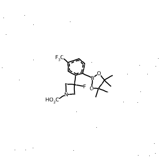 CC1(C)OB(c2ccc(C(F)(F)F)cc2C2(F)CN(C(=O)O)C2)OC1(C)C